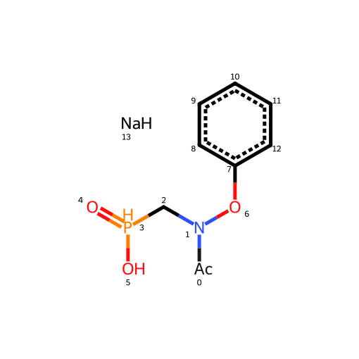 CC(=O)N(C[PH](=O)O)Oc1ccccc1.[NaH]